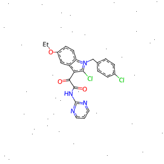 CCOc1ccc2c(c1)c(C(=O)C(=O)Nc1ncccn1)c(Cl)n2Cc1ccc(Cl)cc1